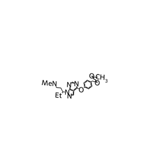 CCC(CCNC)n1ncc2c(Oc3ccc(S(C)(=O)=O)cc3)ncnc21